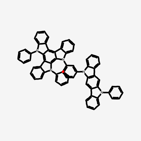 c1ccc(-n2c3ccccc3c3cc4c(cc32)c2ccccc2n4-c2cccc(-n3c4ccccc4c4c5c6ccccc6n(-c6ccccc6)c5c5c6ccccc6n(-c6ccccc6)c5c43)c2)cc1